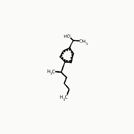 CCCCC(C)c1ccc(C(C)O)cc1